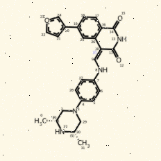 C[C@@H]1CN(c2ccc(N/C=C3\C(=O)NC(=O)c4ccc(-c5ccoc5)cc43)cc2)C[C@H](C)N1